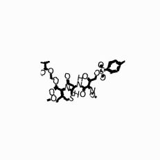 COCC1=C(C(=O)OCOC(=O)C(C)C)N2C(=O)C(NC(=O)/C(=N\OC)C(=O)COS(=O)(=O)c3ccc(C)cc3)[C@H]2SC1